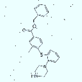 Cc1cc(C(=O)OCc2ccccc2)ccc1Sc1ccccc1N1CCNCC1